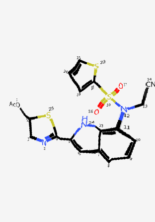 CC(=O)OC1CN=C(c2cc3cccc(N(CC#N)S(=O)(=O)c4cccs4)c3[nH]2)S1